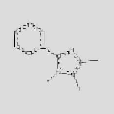 Cc1nc(-c2ccccc2)n(C)c1C